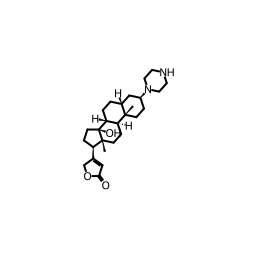 C[C@]12CC[C@H](N3CCNCC3)C[C@H]1CC[C@@H]1[C@@H]2CC[C@]2(C)[C@@H](C3=CC(=O)OC3)CC[C@]12O